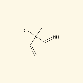 C=C[Si](C)(Cl)C=N